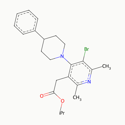 Cc1nc(C)c(CC(=O)OC(C)C)c(N2CCC(c3ccccc3)CC2)c1Br